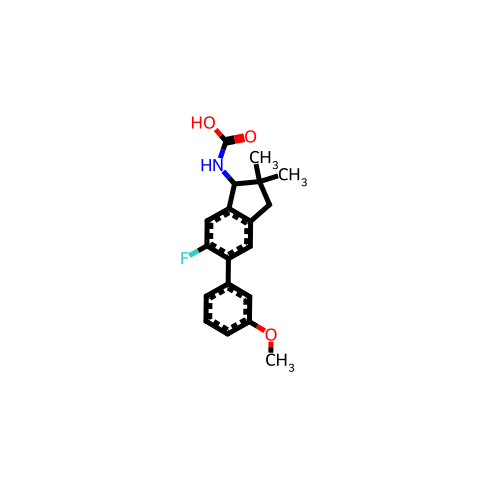 COc1cccc(-c2cc3c(cc2F)C(NC(=O)O)C(C)(C)C3)c1